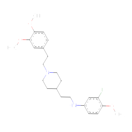 COc1ccc(NCCC2CCN(CCc3ccc(OC)c(OC)c3)CC2)cc1F